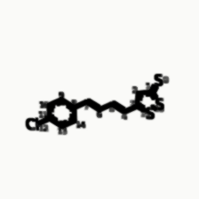 S=c1cc(C=CC=Cc2ccc(Cl)cc2)ss1